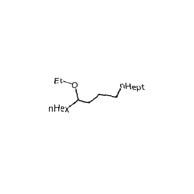 [CH2]CCCCCCCCCC(CCCCCC)OCC